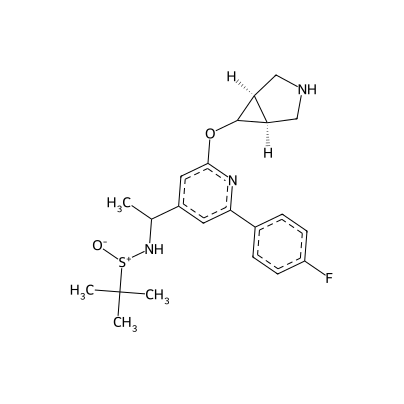 CC(N[S+]([O-])C(C)(C)C)c1cc(OC2[C@H]3CNC[C@@H]23)nc(-c2ccc(F)cc2)c1